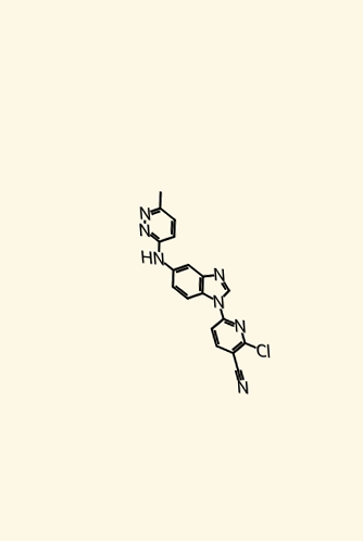 Cc1ccc(Nc2ccc3c(c2)ncn3-c2ccc(C#N)c(Cl)n2)nn1